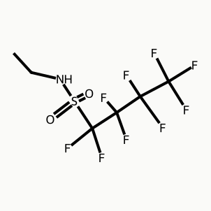 CCNS(=O)(=O)C(F)(F)C(F)(F)C(F)(F)C(F)(F)F